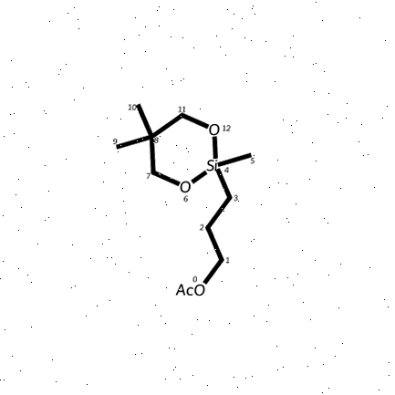 CC(=O)OCCC[Si]1(C)OCC(C)(C)CO1